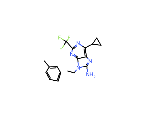 CCn1c(N)nc2c(C3CC3)nc(C(F)(F)F)nc21.Cc1ccccc1